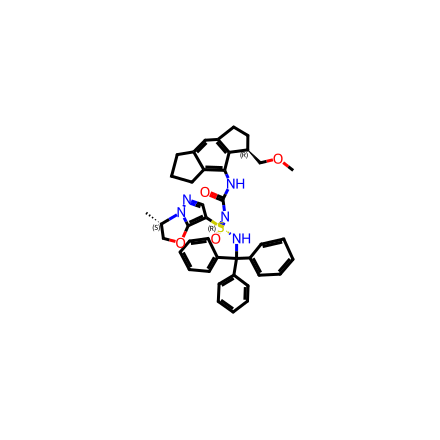 COC[C@@H]1CCc2cc3c(c(NC(=O)N=[S@](=O)(NC(c4ccccc4)(c4ccccc4)c4ccccc4)c4cnn5c4OC[C@@H]5C)c21)CCC3